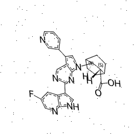 O=C(O)[C@H]1C2CCC(CC2)[C@@H]1n1cc(-c2cccnc2)c2cnc(-c3c[nH]c4ncc(F)cc34)nc21